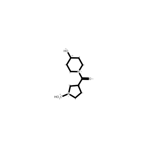 O=C(O)N1CCC(C(=O)N2CCC(O)CC2)C1